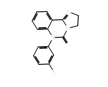 O=C1N2CCN=C2c2ccccc2N1c1cccc([N+](=O)[O-])c1